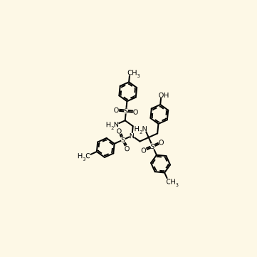 Cc1ccc(S(=O)(=O)C(N)CN(CC(N)(Cc2ccc(O)cc2)S(=O)(=O)c2ccc(C)cc2)S(=O)(=O)c2ccc(C)cc2)cc1